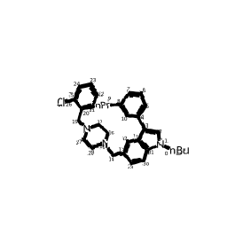 CCCCn1cc(-c2cccc(CCC)c2)c2cc(CN3CCN(Cc4ccccc4Cl)CC3)ccc21